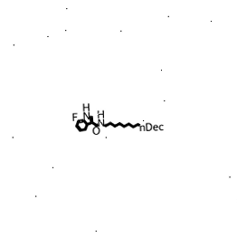 CCCCCCCCCCCCCCCCCCNC(=O)C1=CNC2=C(F)C=CCC12